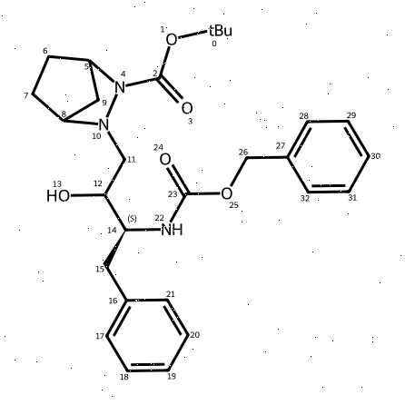 CC(C)(C)OC(=O)N1C2CCC(C2)N1CC(O)[C@H](Cc1ccccc1)NC(=O)OCc1ccccc1